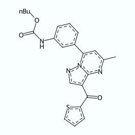 CCCCOC(=O)Nc1cccc(-c2cc(C)nc3c(C(=O)c4cccs4)cnn23)c1